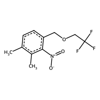 Cc1ccc(COCC(F)(F)F)c([N+](=O)[O-])c1C